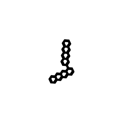 c1ccc2cc3cc4cc(-c5cccc6cc7cc8ccccc8cc7cc56)ccc4cc3cc2c1